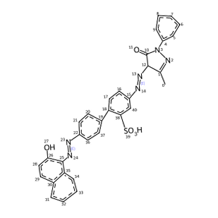 CC1=NN(c2ccccc2)C(=O)C1/N=N/c1ccc(-c2ccc(/N=N/c3c(O)ccc4ccccc34)cc2)c(S(=O)(=O)O)c1